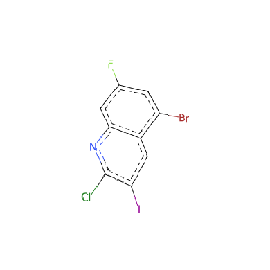 Fc1cc(Br)c2cc(I)c(Cl)nc2c1